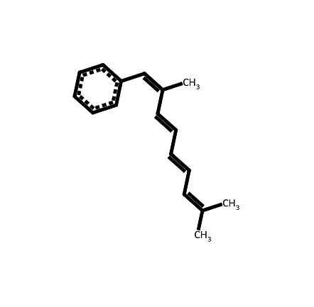 CC(C)=CC=CC=CC(C)=Cc1ccccc1